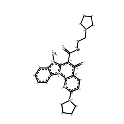 Cn1c2ccccc2n2c3nc(N4CCCC4)ccc3c(=O)c(C(=O)NCCN3CCCC3)c12